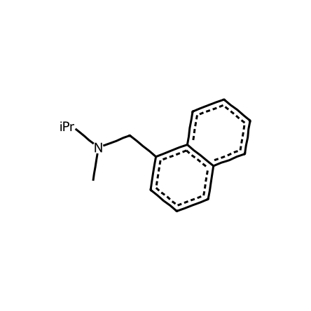 CC(C)N(C)Cc1cccc2ccccc12